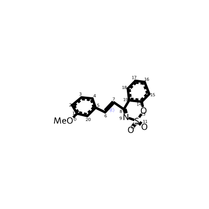 COc1cccc(/C=C/C2=NS(=O)(=O)Oc3ccccc32)c1